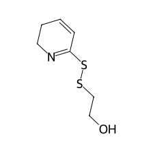 OCCSSC1=NCCC=C1